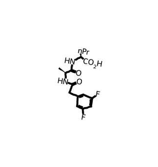 CCC[C@H](NC(=O)[C@H](C)NC(=O)Cc1cc(F)cc(F)c1)C(=O)O